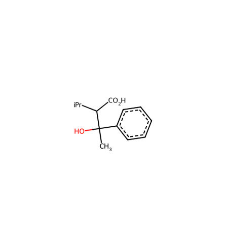 CC(C)C(C(=O)O)C(C)(O)c1ccccc1